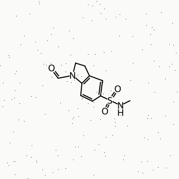 CNS(=O)(=O)c1ccc2c(c1)CCN2C=O